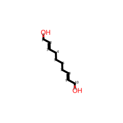 OC/C=C/CCCC/C=C/CO